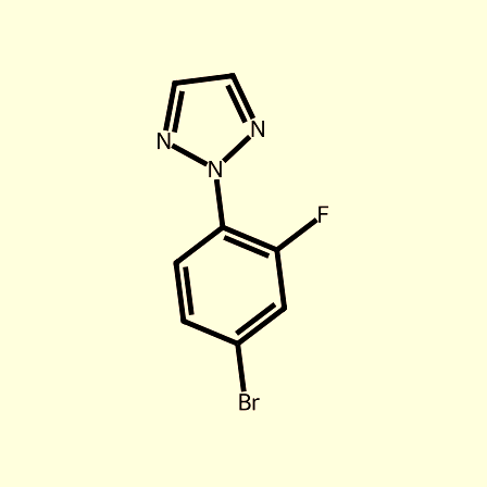 Fc1cc(Br)ccc1-n1nccn1